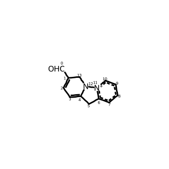 O=CC1=CC=C2Cc3cccc[n+]3N2C1